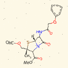 COC(=O)C1N2C(=O)C(NC(=O)COc3ccccc3)[C@H]2S[C@@]1(C)COC=O